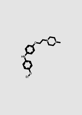 CCOc1ccc(Nc2ccc(OCCN3CCN(C)CC3)cc2)cc1